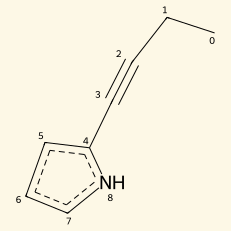 CCC#Cc1ccc[nH]1